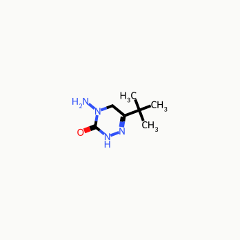 CC(C)(C)C1=NNC(=O)N(N)C1